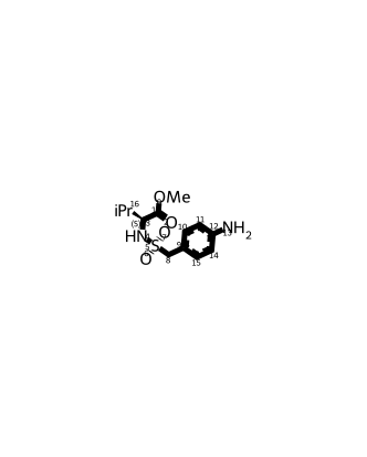 COC(=O)[C@@H](NS(=O)(=O)Cc1ccc(N)cc1)C(C)C